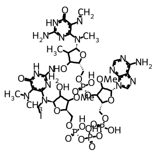 C=Nc1c(N(C)[C@@H]2O[C@H](COP(=O)(O)OC3C(OC)[C@H](n4cnc5c(N)ncnc54)O[C@@H]3COP(=O)(O)OP(=O)(O)OP(=O)(O)OC[C@H]3O[C@@H](N(CI)c4nc(N)[nH]c(=O)c4N(C)C)C(O)C3OC)C(O)C2C)nc(N)[nH]c1=O